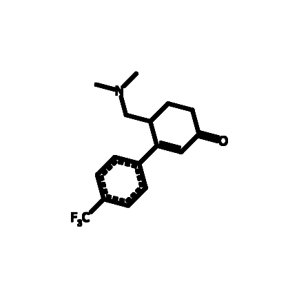 CN(C)CC1CCC(=O)C=C1c1ccc(C(F)(F)F)cc1